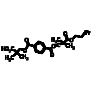 CC(C)CCOC(=O)C(C)(C)COC(=O)c1ccc(C(=O)OCC(C)(C)C(=O)O)cc1